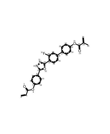 C=CC(=O)Oc1ccc(-c2nnc(-c3ccc(-c4ccc(OC(=O)C(=C)C)cc4)cc3F)o2)cc1